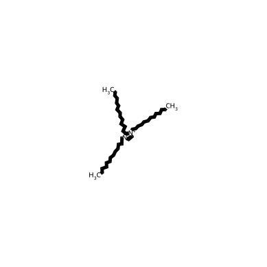 CCCCCCCCCCCCCc1n(CCCCCCCCCCCCC)cc[n+]1CCCCCCCCCCCCC